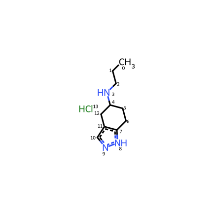 CCCNC1CCc2[nH]ncc2C1.Cl